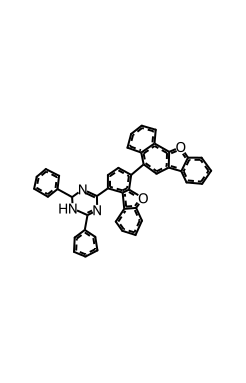 c1ccc(C2=NC(c3ccc(-c4cc5c6ccccc6oc5c5ccccc45)c4oc5ccccc5c34)=NC(c3ccccc3)N2)cc1